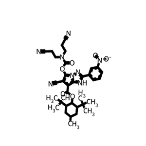 CC1CC(C(C)(C)C)C(OC(=O)c2c(C#N)c(OC(=O)N(CCC#N)CCC#N)n3nc(-c4cccc([N+](=O)[O-])c4)[nH]c23)C(C(C)(C)C)C1